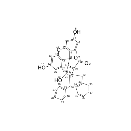 O=C1OC2(c3ccc(O)cc3Oc3cc(O)ccc32)c2cc(O)c(Cc3ccccc3)c(Cc3ccccc3)c21